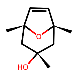 C[C@@]1(O)C[C@]2(C)C=C[C@](C)(C1)O2